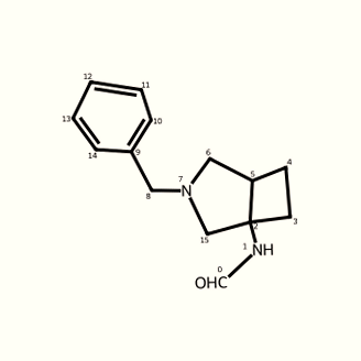 O=CNC12CCC1CN(Cc1ccccc1)C2